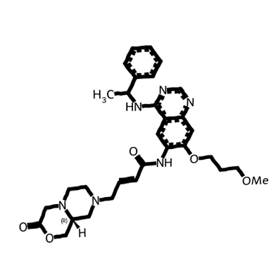 COCCCOc1cc2ncnc(NC(C)c3ccccc3)c2cc1NC(=O)C=CCN1CCN2CC(=O)OC[C@H]2C1